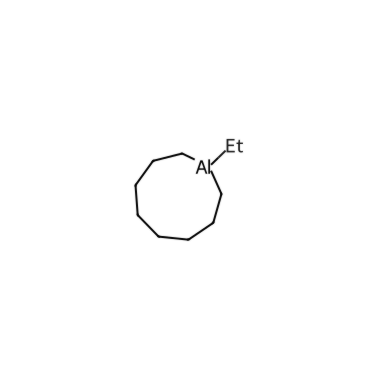 C[CH2][Al]1[CH2]CCCCCC[CH2]1